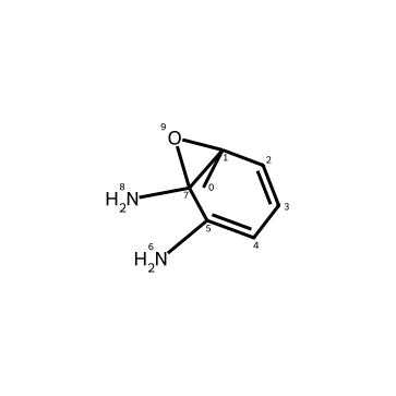 CC12C=CC=C(N)C1(N)O2